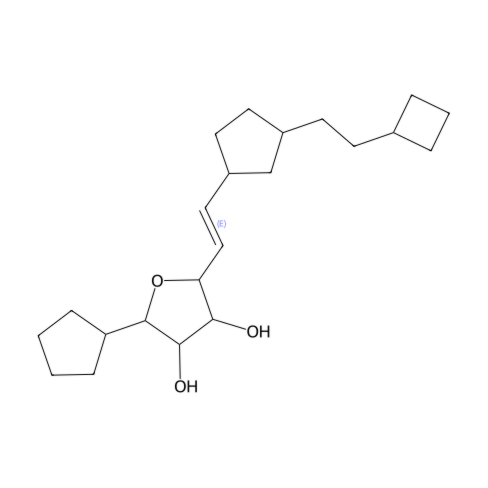 OC1C(/C=C/C2CCC(CCC3CCC3)C2)OC(C2CCCC2)C1O